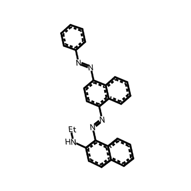 CCNc1ccc2ccccc2c1N=Nc1ccc(N=Nc2ccccc2)c2ccccc12